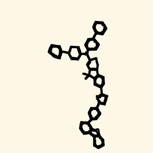 CC1(C)C2=C(CCC(N(C3=CCC(c4ccccc4)C=C3)c3ccc(-c4ccccc4)cc3)=C2)c2ccc(-c3ccc(-c4ccc(-c5cccc6c5oc5ccccc56)cc4)s3)cc21